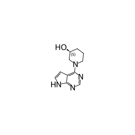 O[C@H]1CCCN(c2ncnc3[nH]ccc23)C1